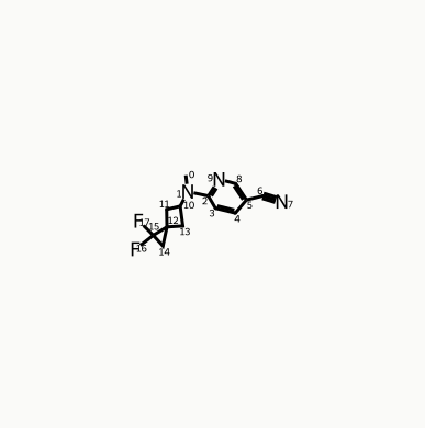 CN(c1ccc(C#N)cn1)C1CC2(C1)CC2(F)F